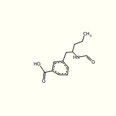 CCCC(Cc1cccc(C(=O)O)c1)NC=O